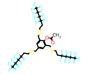 CC(=O)Oc1c(CSCCC(F)(F)C(F)(F)C(F)(F)C(F)(F)F)cc(CSCCC(F)(F)C(F)(F)C(F)(F)C(F)(F)F)cc1CSCCC(F)(F)C(F)(F)C(F)(F)C(F)(F)F